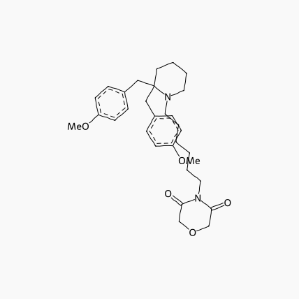 COc1ccc(CC2(Cc3ccc(OC)cc3)CCCCN2CCCCCCN2C(=O)COCC2=O)cc1